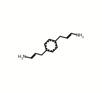 NC=CCc1ccc(CC=CN)cc1